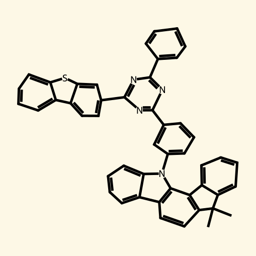 CC1(C)c2ccccc2-c2c1ccc1c3ccccc3n(-c3cccc(-c4nc(-c5ccccc5)nc(-c5ccc6c(c5)sc5ccccc56)n4)c3)c21